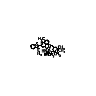 Cc1c(-c2cc(C(=O)NS(C)(=O)=O)c3c(OCC4CC(C)(C)OC(C)(C)C4)ccc(C)c3n2)sc2ccccc12